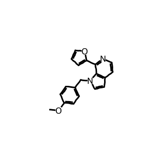 COc1ccc(Cn2ccc3ccnc(-c4ccco4)c32)cc1